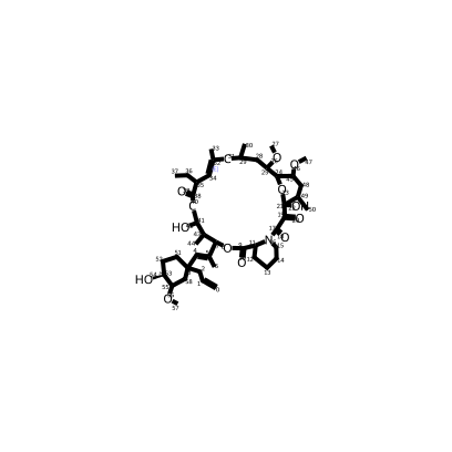 C=CCC1(C=C(C)C2OC(=O)C3CCCCN3C(=O)C(=O)C3(O)OC(C(OC)CC(C)C/C(C)=C/C(CC)C(=O)CC(O)C2C)C(OC)CC3C)CC[C@H](O)C(OC)C1